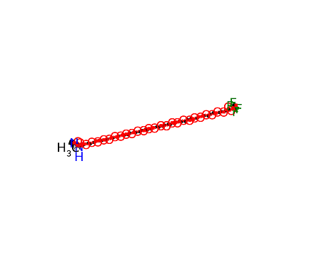 C[C@@H](NC(=O)CCOCCOCCOCCOCCOCCOCCOCCOCCOCCOCCOCCOCCOCCOCCOCCOCCOCCOCCOCCOCCOCCOCCOCCOCCOCCC(=O)Oc1c(F)c(F)cc(F)c1F)C(=O)N1CCCC1